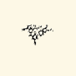 CCNc1nc(Nc2cc(C#N)cc(N3CCC4(CC3)CC(=O)N(C)C4)c2Cl)nn2c(C#N)cnc12